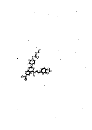 CCOC(=O)OC1CCN(c2nc(NCCc3ccc4c(c3)OCO4)c3cc([N+](=O)[O-])sc3n2)CC1